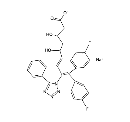 O=C([O-])CC(O)CC(O)/C=C/C(=C(c1ccc(F)cc1)c1ccc(F)cc1)n1nnnc1-c1ccccc1.[Na+]